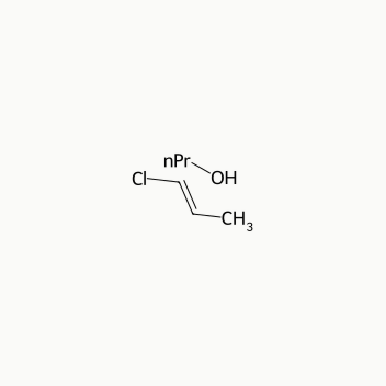 CC=CCl.CCCO